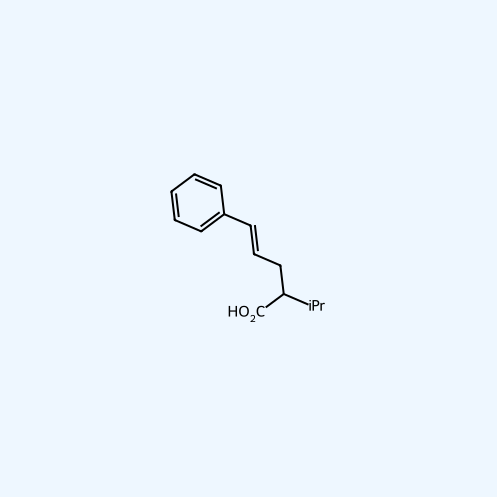 CC(C)C(CC=Cc1ccccc1)C(=O)O